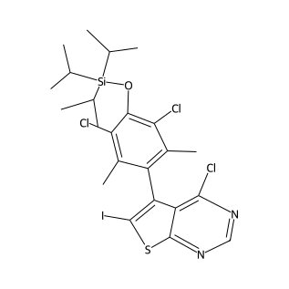 Cc1c(Cl)c(O[Si](C(C)C)(C(C)C)C(C)C)c(Cl)c(C)c1-c1c(I)sc2ncnc(Cl)c12